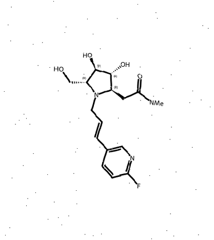 CNC(=O)C[C@@H]1[C@@H](O)[C@H](O)[C@@H](CO)N1CC=Cc1ccc(F)nc1